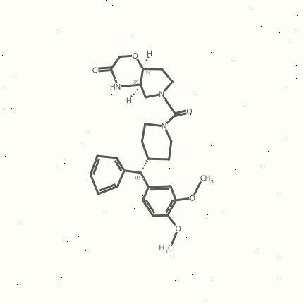 COc1ccc([C@H](c2ccccc2)C2CCN(C(=O)N3CC[C@@H]4OCC(=O)N[C@@H]4C3)CC2)cc1OC